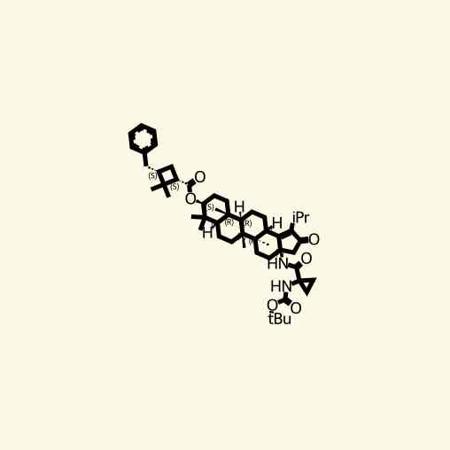 CC(C)C1=C2[C@H]3CC[C@@H]4[C@@]5(C)CC[C@H](OC(=O)[C@H]6C[C@@H](Cc7ccccc7)C6(C)C)C(C)(C)[C@@H]5CC[C@@]4(C)[C@]3(C)CC[C@@]2(NC(=O)C2(NC(=O)OC(C)(C)C)CC2)CC1=O